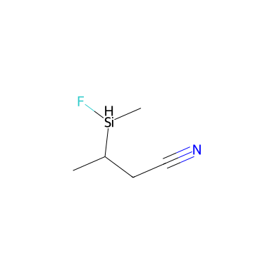 CC(CC#N)[SiH](C)F